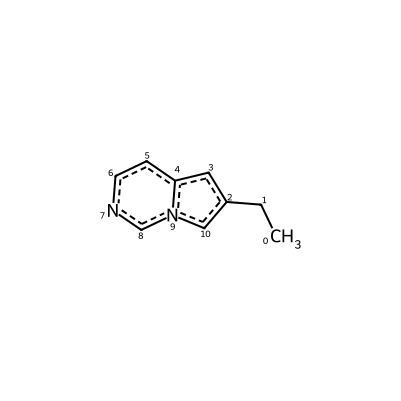 CCc1cc2ccncn2c1